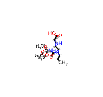 CCCN(CCNCC(=O)O)C(=O)N[Si](OC)(OC)OC